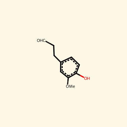 COc1cc(CCC=O)ccc1O